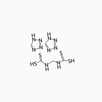 S=C(S)NCNC(=S)S.c1nnn[nH]1.c1nnn[nH]1